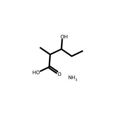 CCC(O)C(C)C(=O)O.N